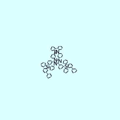 c1ccc(B2c3ccccc3-c3ccccc3N2c2cccc(-c3nc(-c4cccc([Si](c5ccccc5)(c5ccccc5)c5cccc(-c6ccccc6)c5)c4)nc(-c4cccc([Si](c5ccccc5)(c5ccccc5)c5cccc(-c6ccccc6)c5)c4)n3)c2)cc1